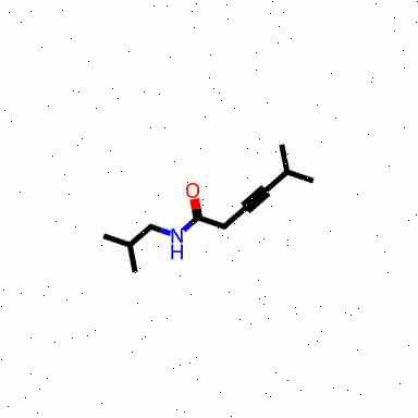 CC(C)C#CCC(=O)NCC(C)C